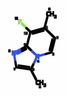 Cc1ccn2c(C)cnc2c1F